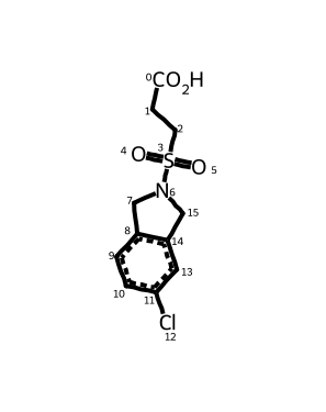 O=C(O)CCS(=O)(=O)N1Cc2ccc(Cl)cc2C1